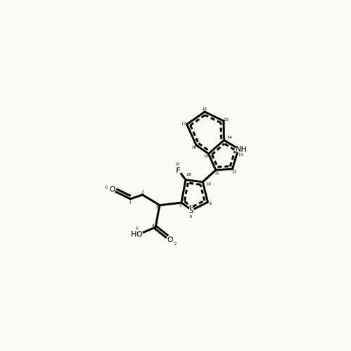 O=CCC(C(=O)O)c1scc(-c2c[nH]c3ccccc23)c1F